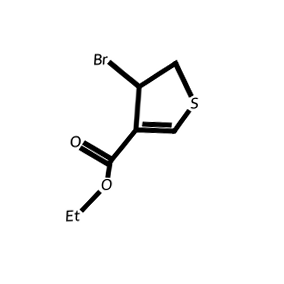 CCOC(=O)C1=CSCC1Br